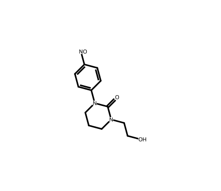 O=Nc1ccc(N2CCCN(CCO)C2=O)cc1